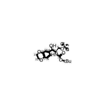 CC(C)(C)OC(=O)N[C@H](COS(C)(=O)=O)[C@H](O)c1ccc2c(c1)OCCO2